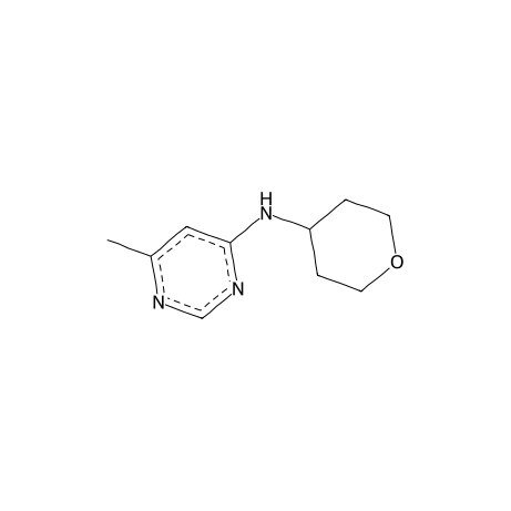 Cc1cc(NC2CCOCC2)ncn1